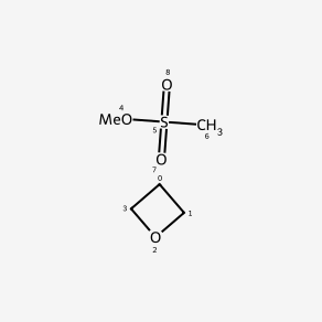 C1COC1.COS(C)(=O)=O